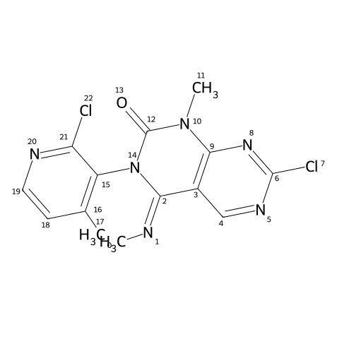 C/N=c1/c2cnc(Cl)nc2n(C)c(=O)n1-c1c(C)ccnc1Cl